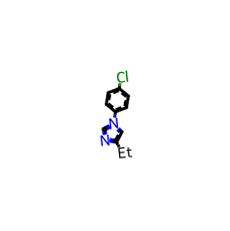 CCc1cn(-c2ccc(Cl)cc2)cn1